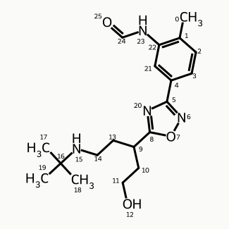 Cc1ccc(-c2noc(C(CCO)CCNC(C)(C)C)n2)cc1NC=O